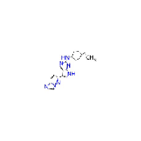 CCC1CCC(Nc2ncc3c(-c4ccc5nccn5n4)c[nH]c3n2)CC1